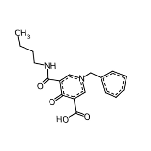 CCCCNC(=O)c1cn(Cc2ccccc2)cc(C(=O)O)c1=O